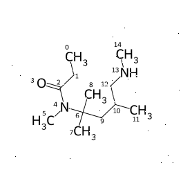 CCC(=O)N(C)C(C)(C)CC(C)CNC